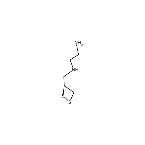 NCCNCC1CSS1